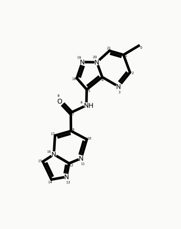 Cc1cnc2c(NC(=O)c3cnc4nccn4c3)cnn2c1